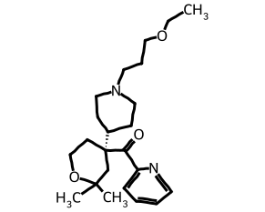 CCOCCCN1CCC([C@@]2(C(=O)c3ccccn3)CCOC(C)(C)C2)CC1